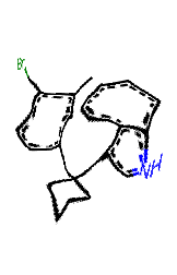 Cc1cc(C2(c3c[nH]c4ccccc34)CCC2)ccc1Br